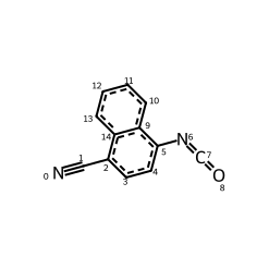 N#Cc1ccc(N=C=O)c2ccccc12